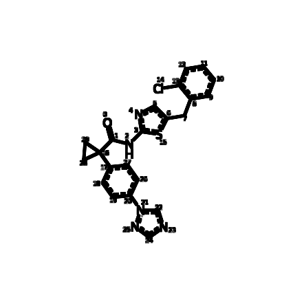 O=C(Nc1ncc(Cc2ccccc2Cl)s1)C1(c2ccc(-n3cncn3)cc2)CC1